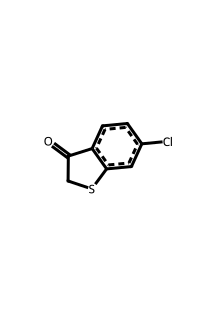 O=C1CSc2cc(Cl)ccc21